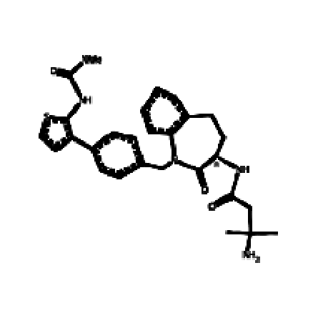 CNC(=O)Nc1sccc1-c1ccc(CN2C(=O)[C@H](NC(=O)CC(C)(C)N)CCc3ccccc32)cc1